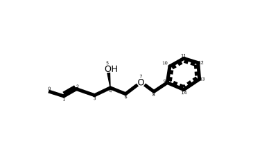 C/C=C/C[C@@H](O)COCc1ccccc1